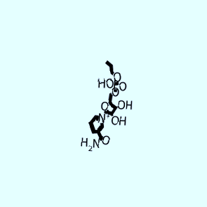 CCCOP(=O)(O)OCC1OC([n+]2cccc(C(N)=O)c2)[C@H](O)[C@@H]1O